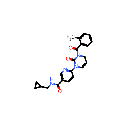 O=C(NCC1CC1)c1ccc(N2C=CCN(C(=O)c3ccccc3C(F)(F)F)C2=O)nc1